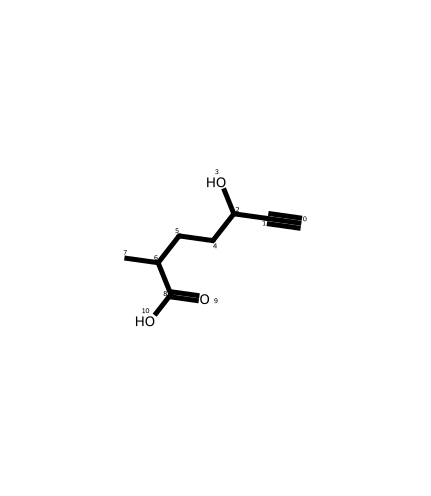 C#CC(O)CCC(C)C(=O)O